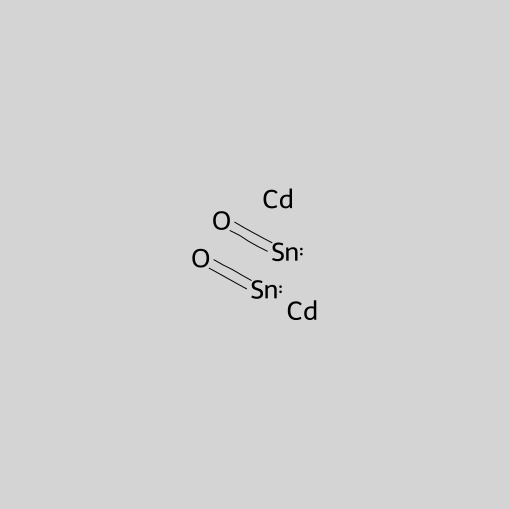 [Cd].[Cd].[O]=[Sn].[O]=[Sn]